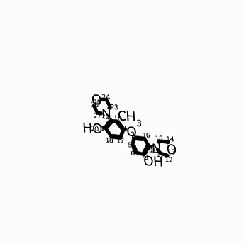 Cc1c(Oc2ccc(O)c(N3CCOCC3)c2)ccc(O)c1N1CCOCC1